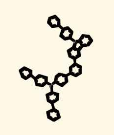 c1ccc(-c2ccc(N(c3ccc(-c4ccccc4)cc3)c3ccc(-c4cccc(-c5ccc6c(c5)c5ccccc5n6-c5ccc(-c6ccccc6)cc5)c4)cc3)cc2)cc1